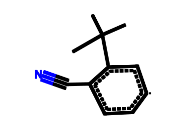 CC(C)(C)c1c[c]ccc1C#N